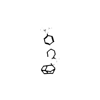 O=[N+]([O-])c1ccc([C@H]2CC[C@]3(CC2)OO[C@]2(O3)C3CC4CC(C3)CC2C4)cc1